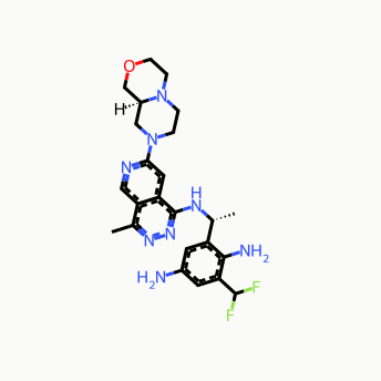 Cc1nnc(N[C@H](C)c2cc(N)cc(C(F)F)c2N)c2cc(N3CCN4CCOC[C@@H]4C3)ncc12